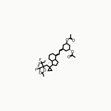 CC(=O)OC1C/C(=C/C=C2\CCC[C@@]3(C)C2CCC3C2(CC(OC(C)=O)(C(F)(F)F)C(F)(F)F)CC2)C[C@@H](OC(C)=O)C1